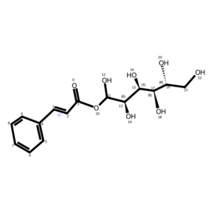 O=C(/C=C/c1ccccc1)OC(O)[C@H](O)[C@@H](O)[C@H](O)[C@H](O)CO